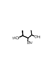 CC(O)C(C(C)O)C(C)(C)C